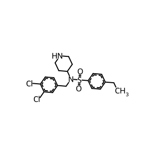 CCc1ccc(S(=O)(=O)N(Cc2ccc(Cl)c(Cl)c2)C2CCNCC2)cc1